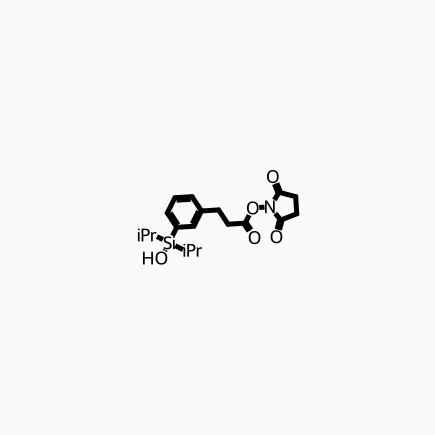 CC(C)[Si](O)(c1cccc(CCC(=O)ON2C(=O)CCC2=O)c1)C(C)C